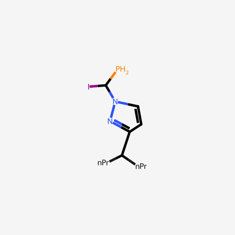 CCCC(CCC)c1ccn(C(P)I)n1